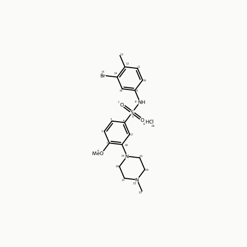 COc1ccc(S(=O)(=O)Nc2ccc(C)c(Br)c2)cc1N1CCN(C)CC1.Cl